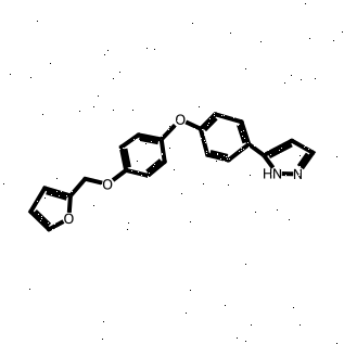 c1coc(COc2ccc(Oc3ccc(-c4ccn[nH]4)cc3)cc2)c1